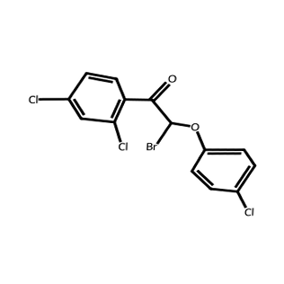 O=C(c1ccc(Cl)cc1Cl)C(Br)Oc1ccc(Cl)cc1